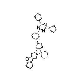 c1ccc(-c2nc(-c3ccccc3)nc(-c3cccc(-c4ccc5c(c4)-c4cc6oc7ccccc7c6cc4C54CCCCC4)c3)n2)cc1